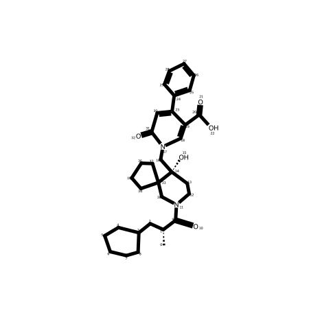 C[C@H](CC1CCCCC1)C(=O)N1CC[C@](O)(Cn2cc(C(=O)O)c(-c3ccccc3)cc2=O)C2(CCCC2)C1